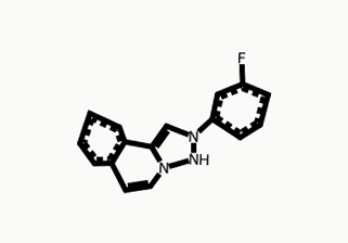 Fc1cccc(N2C=C3c4ccccc4C=CN3N2)c1